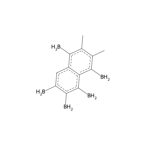 Bc1cc2c(B)c(C)c(C)c(B)c2c(B)c1B